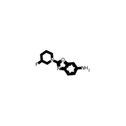 Nc1ccc2nc(N3CCCC(F)C3)oc2c1